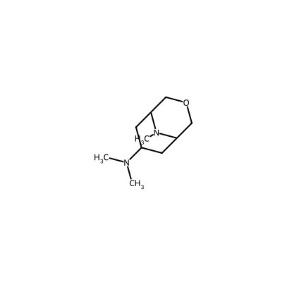 CN(C)C1CC2COCC(C1)N2C